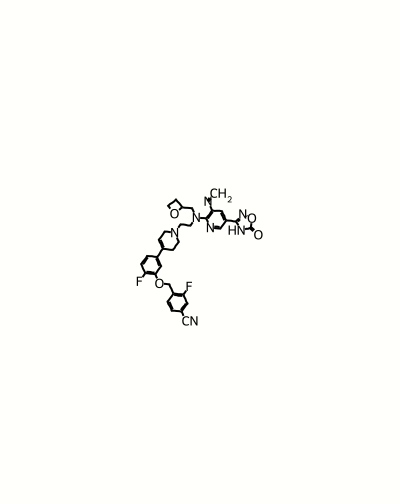 C=Nc1cc(-c2noc(=O)[nH]2)cnc1N(CCN1CC=C(c2ccc(F)c(OCc3ccc(C#N)cc3F)c2)CC1)CC1CCO1